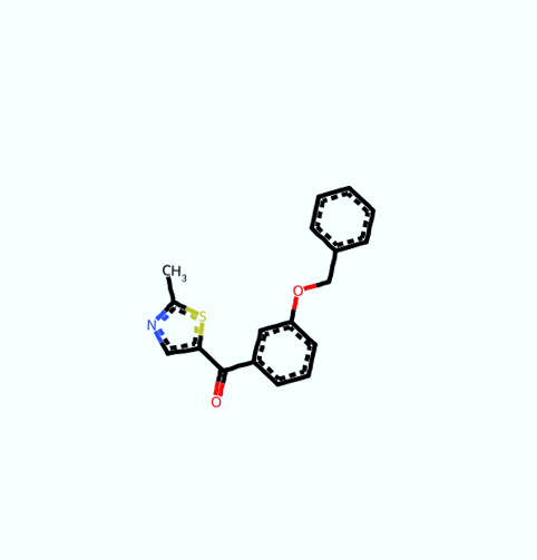 Cc1ncc(C(=O)c2cccc(OCc3ccccc3)c2)s1